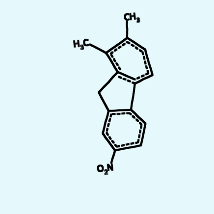 Cc1ccc2c(c1C)Cc1cc([N+](=O)[O-])ccc1-2